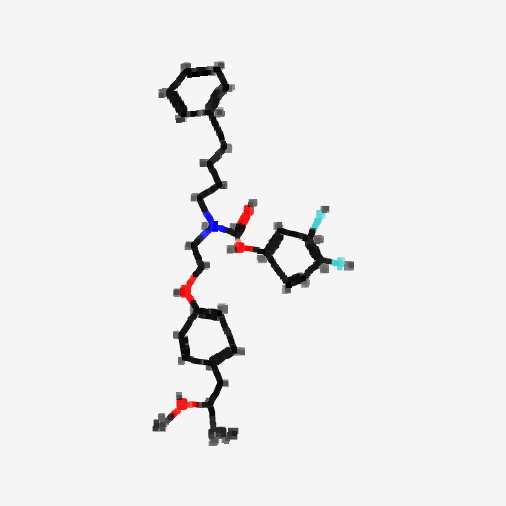 CCOC(Cc1ccc(OCCN(CCCCc2ccccc2)C(=O)Oc2ccc(F)c(F)c2)cc1)C(=O)O